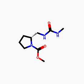 CNC(=O)NC[C@H]1CCCN1C(=O)OC